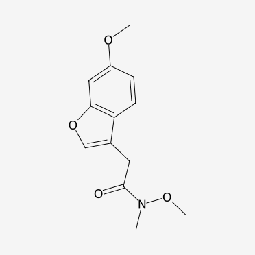 COc1ccc2c(CC(=O)N(C)OC)coc2c1